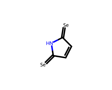 [Se]=C1C=CC(=[Se])N1